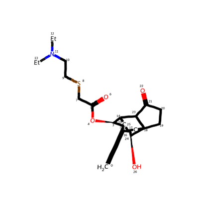 C=C1C[C@@H](OC(=O)CSCCN(CC)CC)C2CCCC3(CCC(=O)C23)C[C@@H]1O